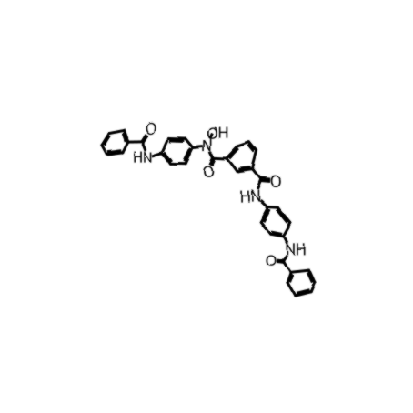 O=C(Nc1ccc(NC(=O)c2cccc(C(=O)N(O)c3ccc(NC(=O)c4ccccc4)cc3)c2)cc1)c1ccccc1